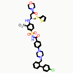 O=C(NS(=O)(=O)c1ccc(N[C@@H](CSc2cccs2)CC(=O)N2CCOCC2)c([N+](=O)[O-])c1)c1ccc(N2CCN(Cc3ccccc3-c3ccc(Cl)cc3)CC2)cc1